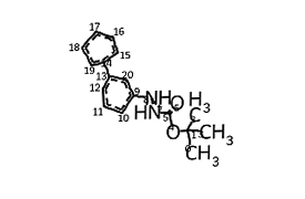 CC(C)(C)OC(=O)NNc1cccc(-c2ccccc2)c1